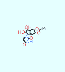 CC(C)C(=O)OC1CC=C2C(C1)C(O)C(O)C2n1ccc(=O)[nH]c1=O